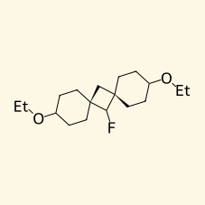 CCOC1CC[C@]2(CC1)C[C@@]1(CCC(OCC)CC1)C2F